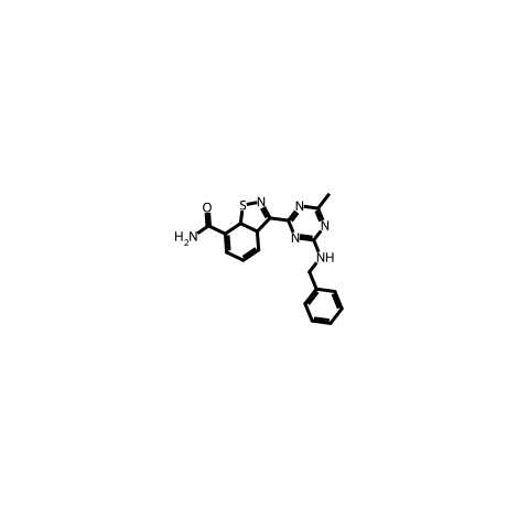 Cc1nc(NCc2ccccc2)nc(C2=NSC3C(C(N)=O)=CC=CC23)n1